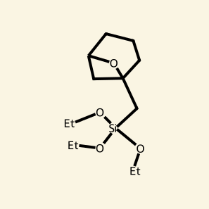 CCO[Si](CC12CCCC(C1)O2)(OCC)OCC